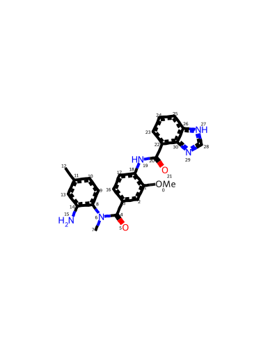 COc1cc(C(=O)N(C)c2ccc(C)cc2N)ccc1NC(=O)c1cccc2[nH]cnc12